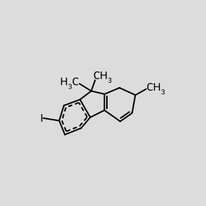 CC1C=CC2=C(C1)C(C)(C)c1cc(I)ccc12